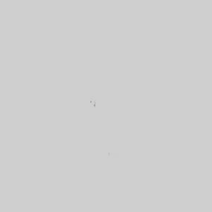 COc1ccccc1/N=C(\Cl)c1ccccc1OC